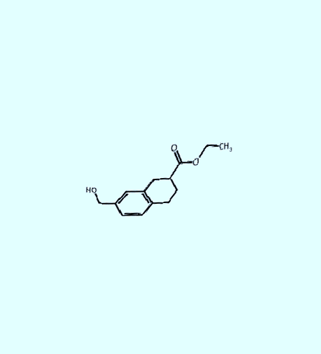 CCOC(=O)C1CCc2ccc(CO)cc2C1